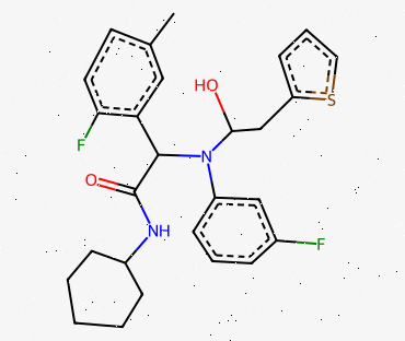 Cc1ccc(F)c(C(C(=O)NC2CCCCC2)N(c2cccc(F)c2)C(O)Cc2cccs2)c1